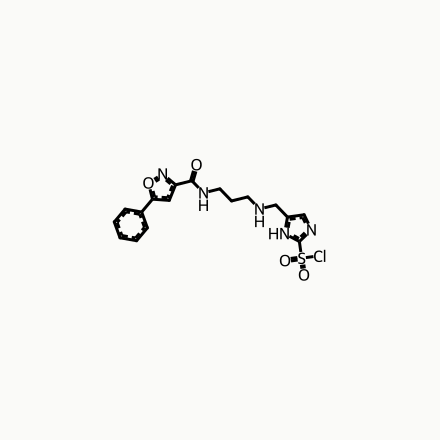 O=C(NCCCNCc1cnc(S(=O)(=O)Cl)[nH]1)c1cc(-c2ccccc2)on1